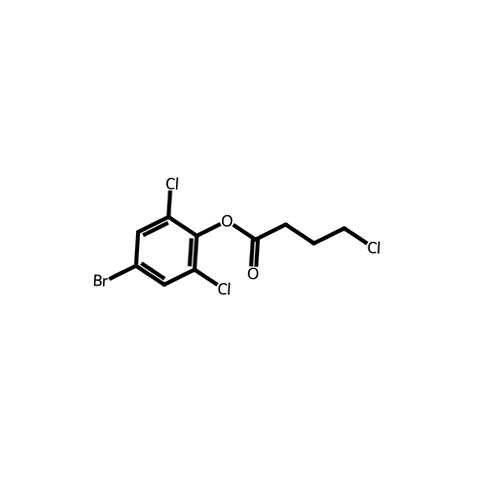 O=C(CCCCl)Oc1c(Cl)cc(Br)cc1Cl